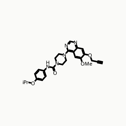 C#CCOc1cc2ncnc(N3CCN(C(=O)Nc4ccc(OC(C)C)cc4)CC3)c2cc1OC